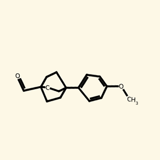 COc1ccc(C23CCC(C=O)(CC2)CC3)cc1